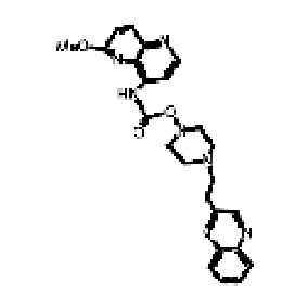 COc1ccc2nccc(NC(=O)ON3CCN(CCc4cnc5ccccc5n4)CC3)c2n1